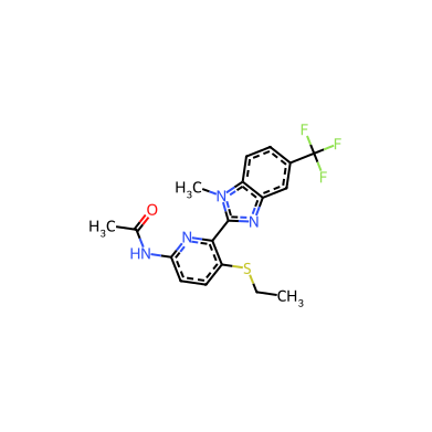 CCSc1ccc(NC(C)=O)nc1-c1nc2cc(C(F)(F)F)ccc2n1C